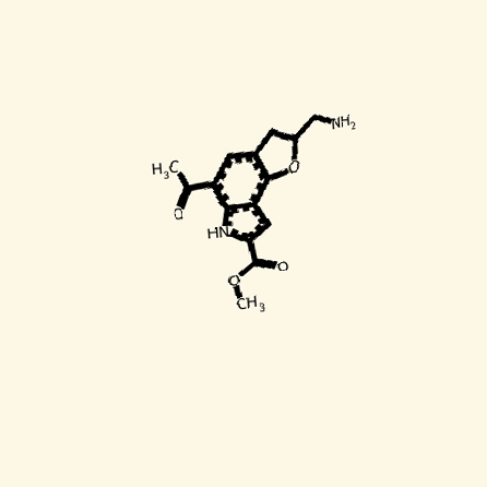 COC(=O)c1cc2c3c(cc(C(C)=O)c2[nH]1)CC(CN)O3